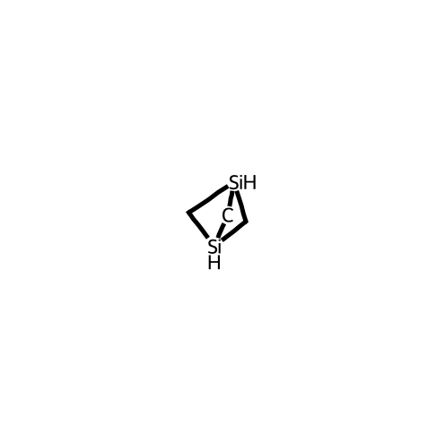 C1[SiH]2C[SiH]1C2